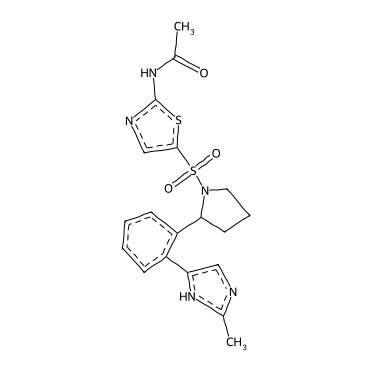 CC(=O)Nc1ncc(S(=O)(=O)N2CCCC2c2ccccc2-c2cnc(C)[nH]2)s1